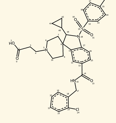 O=C(O)CCN1CCC2(CC1)c1cc(C(=O)NCc3ccccc3Cl)ccc1N(S(=O)(=O)c1ccc(F)cc1)C2C1CC1